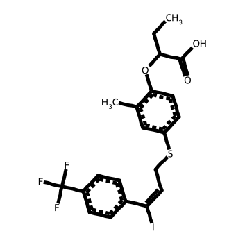 CCC(Oc1ccc(SC/C=C(/I)c2ccc(C(F)(F)F)cc2)cc1C)C(=O)O